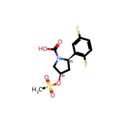 CS(=O)(=O)O[C@@H]1C[C@H](c2cc(F)ccc2F)N(C(=O)O)C1